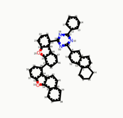 C1=Cc2c(ccc3cc(-c4nc(-c5ccccc5)nc(-c5cccc6oc7c(-c8cccc9oc%10c%11ccccc%11ccc%10c89)cccc7c56)n4)ccc23)CC1